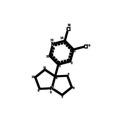 Clc1cc(C23CCCN2CCC3)cnc1Cl